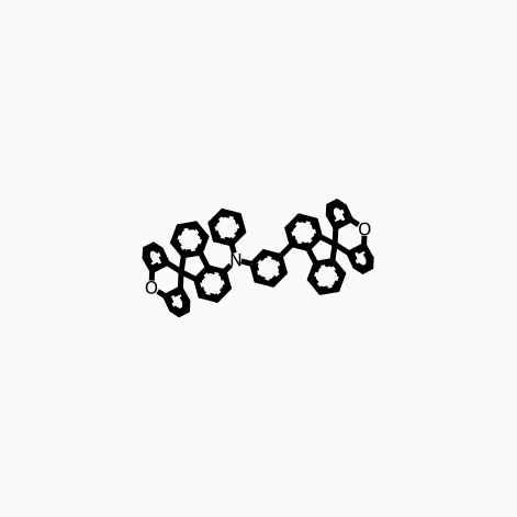 c1ccc(N(c2cccc(-c3cccc4c3-c3ccccc3C43c4ccccc4Oc4ccccc43)c2)c2cccc3c2-c2ccccc2C32c3ccccc3Oc3ccccc32)cc1